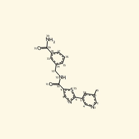 Cc1cncc(-c2ncc(C(=O)NCc3cccc(C(N)=O)c3)s2)c1